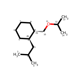 CC(C)C[C@H]1CCCC[C@@H]1COC(C)C